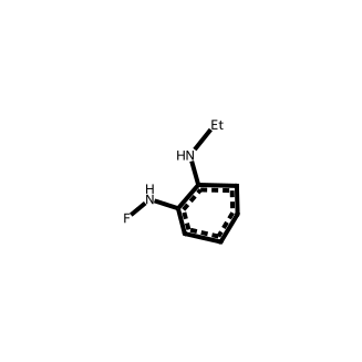 CCNc1ccccc1NF